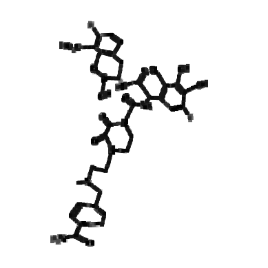 CN(CCN1CCN(C(=O)NC(C(=O)N[C@H]2Cc3ccc(F)c(C(=O)O)c3OB2O)c2cc(F)c(O)c(O)c2Cl)C(=O)C1=O)Cc1ccc(C(N)=O)cc1